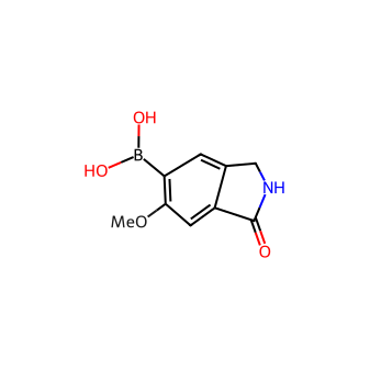 COc1cc2c(cc1B(O)O)CNC2=O